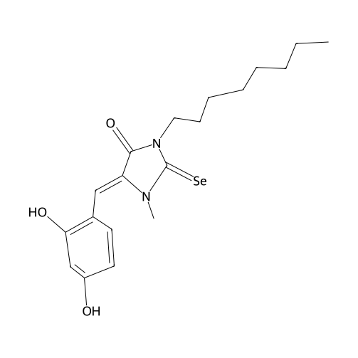 CCCCCCCCN1C(=O)C(=Cc2ccc(O)cc2O)N(C)C1=[Se]